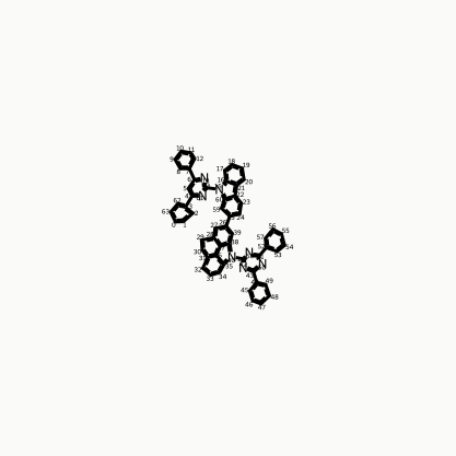 c1ccc(-c2cc(-c3ccccc3)nc(-n3c4ccccc4c4ccc(-c5cc6ccc7cccc8c7c6c(c5)n8-c5nc(-c6ccccc6)nc(-c6ccccc6)n5)cc43)n2)cc1